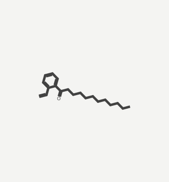 C=Cc1ccccc1C(=O)CCCCCCCCCCC